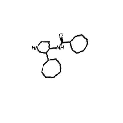 O=C(NC1CCNCC1C1CCCCCCC1)C1CCCCCCC1